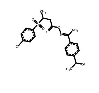 CC(S)c1ccc(/C(N)=N/OC(=O)CC(C)S(=O)(=O)c2ccc(Cl)cc2)cc1